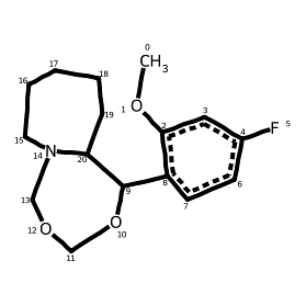 COc1cc(F)ccc1C1OCOCN2CCCCCC12